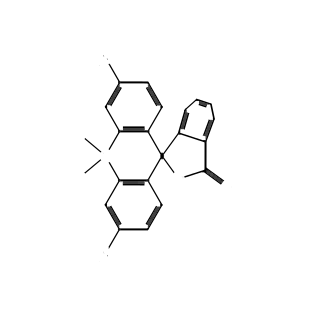 C[Si]1(C)c2cc(N)ccc2C2(OC(=O)c3ccccc32)c2ccc(N)cc21